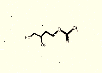 CC(=O)OCCC(O)CO